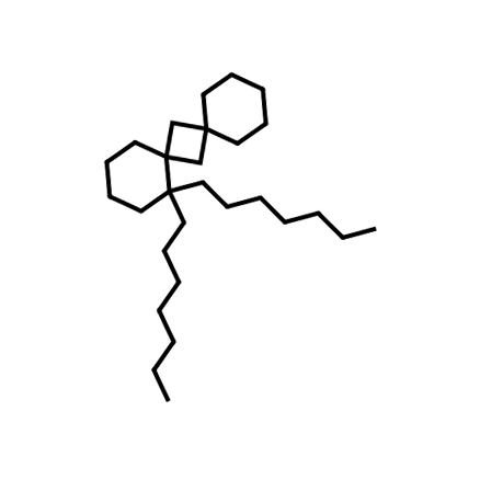 CCCCCCCC1(CCCCCCC)CCCCC12CC1(CCCCC1)C2